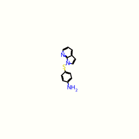 Nc1ccc(Sn2ccc3cccnc32)cc1